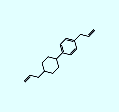 C=CCc1ccc(C2CCC(CC=C)CC2)cc1